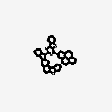 c1cc2ccc3cc(-c4nc(-n5c6ccccc6c6cc7ccc8oc9ccccc9c8c7cc65)nc5c4sc4ccccc45)cc4ccc(c1)c2c34